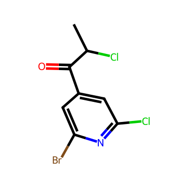 CC(Cl)C(=O)c1cc(Cl)nc(Br)c1